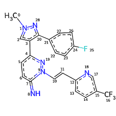 Cn1cc(-c2ccc(=N)n(/C=C/c3ccc(C(F)(F)F)cn3)n2)c(-c2ccc(F)cc2)n1